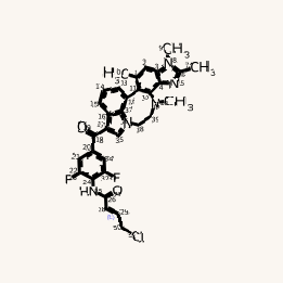 Cc1cc2c(nc(C)n2C)c2c1-c1cccc3c(C(=O)c4cc(F)c(NC(=O)/C=C/CCl)c(F)c4)cn(c13)CCN2C